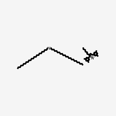 CCCCC=CC1=C(c2cc(C)cc(C)c2)[N+](=[N-])C(c2cc(C)cc(C)c2)=C1.CCCCCCCCCCCCCCCCCCCCCCC[CH2][Ni][CH2]CCCCCCCCCCCCCCCCCCCCCCC